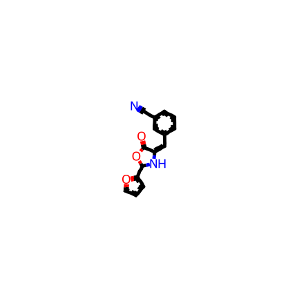 N#Cc1cccc(C=C2NC(c3ccco3)OC2=O)c1